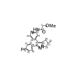 COCC(=O)Nc1cc(-c2c(-c3ccc(F)cc3)nn3c2CC(C)C3)ccn1